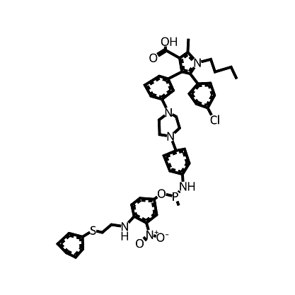 CCCCn1c(C)c(C(=O)O)c(-c2cccc(N3CCN(c4ccc(NP(C)Oc5ccc(NCCSc6ccccc6)c([N+](=O)[O-])c5)cc4)CC3)c2)c1-c1ccc(Cl)cc1